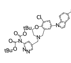 CC(C)(C)OC(=O)N(C(=O)OC(C)(C)C)c1cc(CN2CCOc3c(Cl)cc(-n4ccc5cc(F)ccc54)cc3C2)cnn1